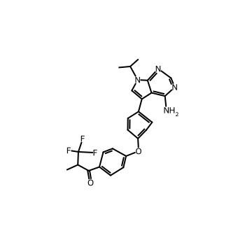 CC(C)n1cc(-c2ccc(Oc3ccc(C(=O)C(C)C(F)(F)F)cc3)cc2)c2c(N)ncnc21